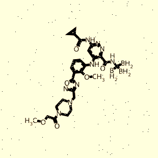 BC(B)(B)NC(=O)c1nnc(NC(=O)C2CC2)cc1Nc1cccc(-c2nc(CN3CCN(C(=O)COC)CC3)no2)c1OC